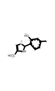 Cc1ccc(C2NC(C(=O)O)=CS2)c(O)c1